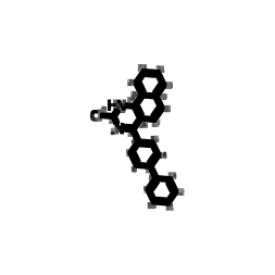 ClC1N=C(c2ccc(-c3ccccc3)cc2)c2ccc3ccccc3c2N1